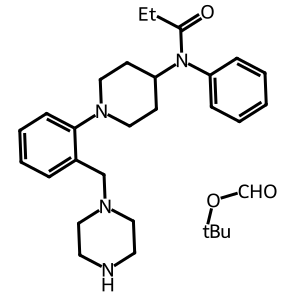 CC(C)(C)OC=O.CCC(=O)N(c1ccccc1)C1CCN(c2ccccc2CN2CCNCC2)CC1